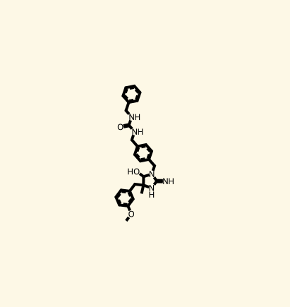 COc1cccc(CC2(C)NC(=N)N(Cc3ccc(CNC(=O)NCc4ccccc4)cc3)C2O)c1